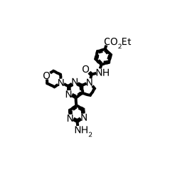 CCOC(=O)c1ccc(NC(=O)N2CCc3c(-c4cnc(N)nc4)nc(N4CCOCC4)nc32)cc1